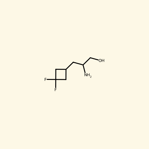 NC(CO)CC1CC(F)(F)C1